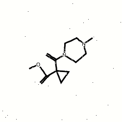 C=C(OC)C1(C(=C)N2CCN(C)CC2)CC1